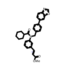 COC(=O)/C=C/c1cccc(N(Cc2ccc(-c3ccc4ncoc4c3)cc2)C(=O)C2CCCCC2)c1